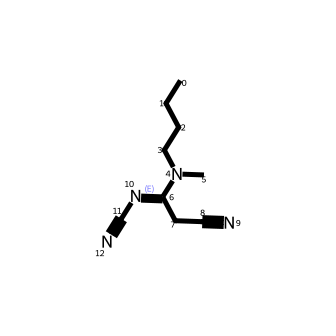 CCCCN(C)/C(CC#N)=N/C#N